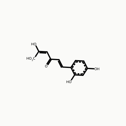 O=C(/C=C/c1ccc(O)cc1O)/C=C(/O)C(=O)O